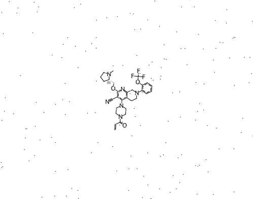 C=CC(=O)N1CCN(c2c(C#N)c(OC[C@@H]3CCCN3C)nc3c2CCN(c2ccccc2OC(F)(F)F)C3)CC1